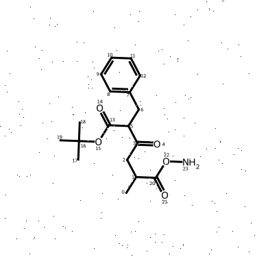 CC(CC(=O)C(Cc1ccccc1)C(=O)OC(C)(C)C)C(=O)ON